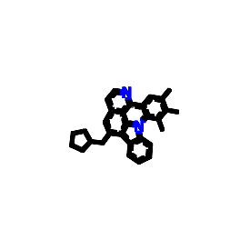 Cc1cc2c3nccc4cc(CC5CCCC5)c5c6ccccc6n(c2c(C)c1C)c5c43